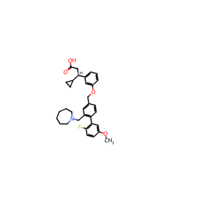 COc1ccc(F)c(-c2ccc(COc3cccc([C@H](CC(=O)O)C4CC4)c3)cc2CN2CCCCCC2)c1